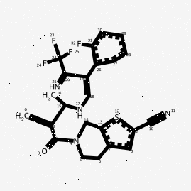 C=C(C(=O)N1CCc2cc(C#N)sc2C1)C(C)N/C=C(\C(=N)C(F)(F)F)c1ccccc1F